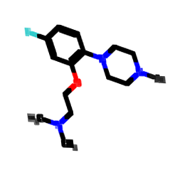 CC(=O)N1CCN(c2ccc(F)cc2OCCN(C)C)CC1